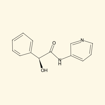 O=C(Nc1cccnc1)[C@@H](O)c1ccccc1